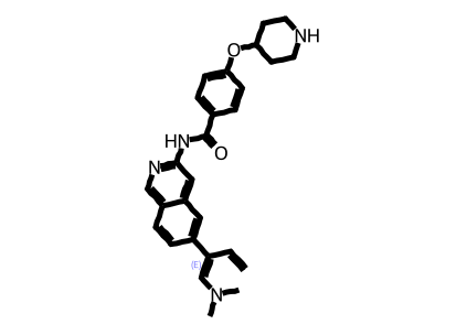 C=C/C(=C\N(C)C)c1ccc2cnc(NC(=O)c3ccc(OC4CCNCC4)cc3)cc2c1